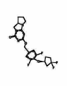 O=c1nc(OCc2cc(F)c(O[C@H]3CCC(F)(F)C3)c(F)c2)cc2n1CC1CCCN21